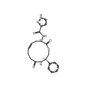 O=C1CCC=CC[C@@H](NC(=O)c2cc[nH]n2)C(=O)OC[C@@H](c2ccccc2)N1